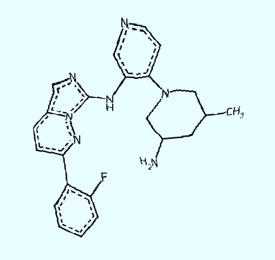 CC1CC(N)CN(c2ccncc2Nc2ncc3ccc(-c4ccccc4F)nn23)C1